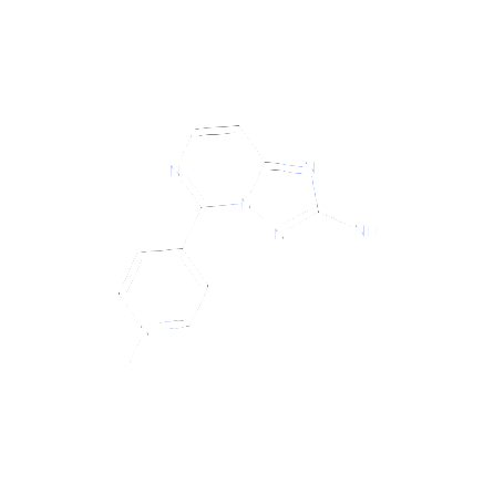 Nc1nc2ccnc(-c3cc[n+]([O-])cc3)n2n1